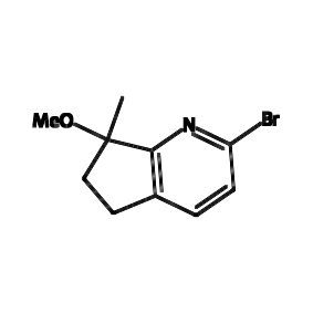 COC1(C)CCc2ccc(Br)nc21